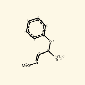 CON=CC(Oc1ccccc1)C(=O)O